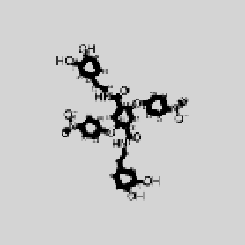 O=C(NCCc1ccc(O)c(O)c1)c1cc(Oc2ccc([N+](=O)[O-])cc2)c(C(=O)NCCc2ccc(O)c(O)c2)cc1Oc1ccc([N+](=O)[O-])cc1